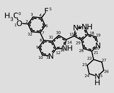 COc1cc(F)cc(-c2ccnc3[nH]c(-c4n[nH]c5cnc(C6CCNCC6)cc45)cc23)c1